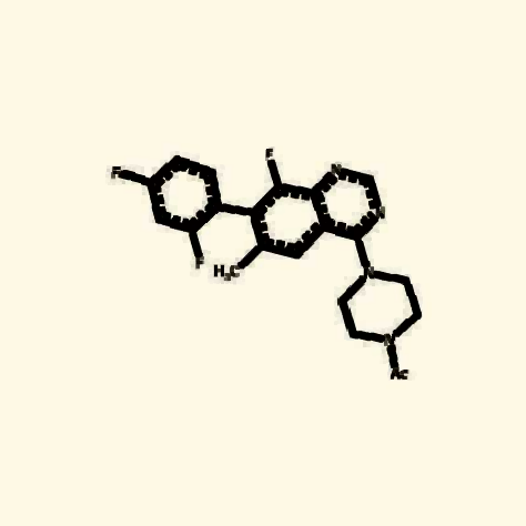 CC(=O)N1CCN(c2ncnc3c(F)c(-c4ccc(F)cc4F)c(C)cc23)CC1